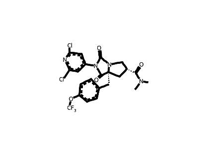 CN(C)C(=O)[C@H]1CN2C(=O)N(c3cc(Cl)nc(Cl)c3)C(=O)[C@]2(Cc2ccc(OC(F)(F)F)cc2)C1